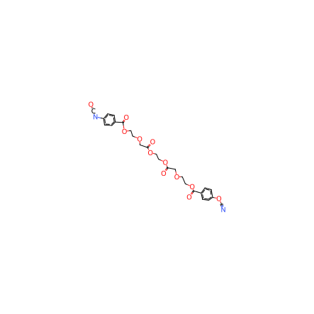 N#COc1ccc(C(=O)OCCOCC(=O)OCCOC(=O)COCCOC(=O)c2ccc(N=C=O)cc2)cc1